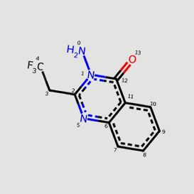 Nn1c(CC(F)(F)F)nc2ccccc2c1=O